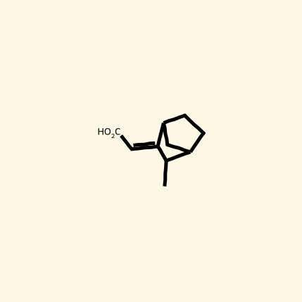 CC1/C(=C/C(=O)O)C2CCC1C2